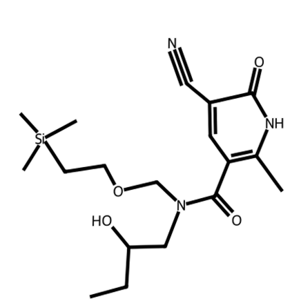 CCC(O)CN(COCC[Si](C)(C)C)C(=O)c1cc(C#N)c(=O)[nH]c1C